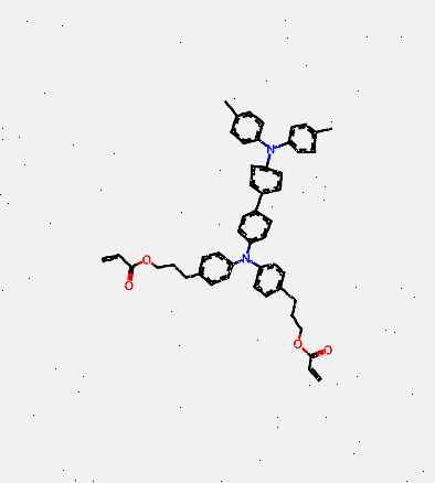 C=CC(=O)OCCCc1ccc(N(c2ccc(CCCOC(=O)C=C)cc2)c2ccc(-c3ccc(N(c4ccc(C)cc4)c4ccc(C)cc4)cc3)cc2)cc1